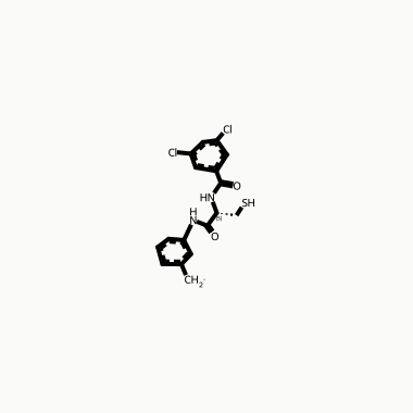 [CH2]c1cccc(NC(=O)[C@@H](CS)NC(=O)c2cc(Cl)cc(Cl)c2)c1